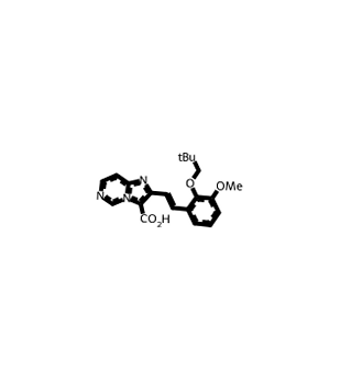 COc1cccc(C=Cc2nc3ccncn3c2C(=O)O)c1OCC(C)(C)C